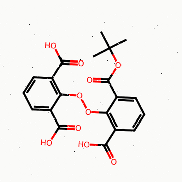 CC(C)(C)OC(=O)c1cccc(C(=O)O)c1OOc1c(C(=O)O)cccc1C(=O)O